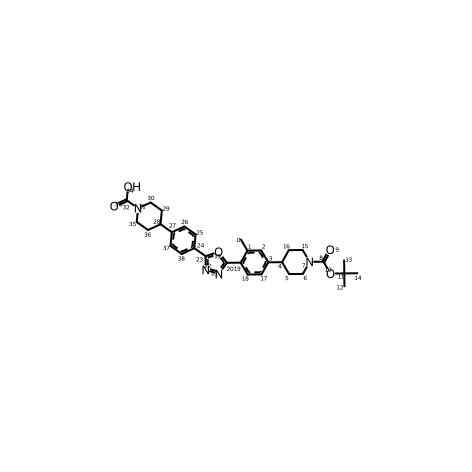 Cc1cc(C2CCN(C(=O)OC(C)(C)C)CC2)ccc1-c1nnc(-c2ccc(C3CCN(C(=O)O)CC3)cc2)o1